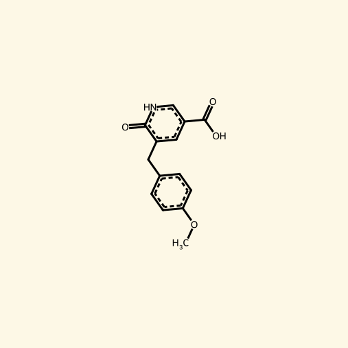 COc1ccc(Cc2cc(C(=O)O)c[nH]c2=O)cc1